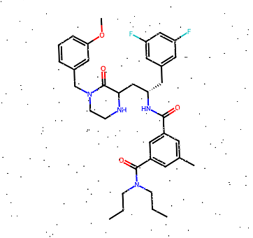 CCCN(CCC)C(=O)c1cc(C)cc(C(=O)N[C@@H](Cc2cc(F)cc(F)c2)CC2NCCN(Cc3cccc(OC)c3)C2=O)c1